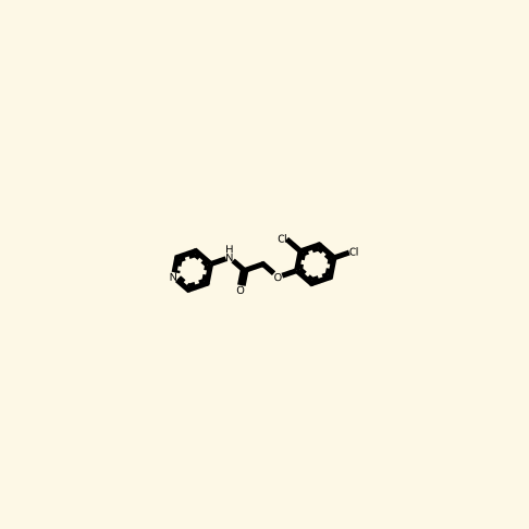 O=C(COc1ccc(Cl)cc1Cl)Nc1ccncc1